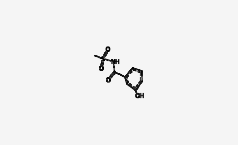 CS(=O)(=O)NC(=O)c1cccc(O)c1